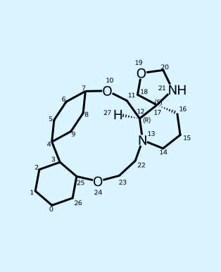 C1CCC2C3CCC(CC3)OC[C@@H]3N(CCC[C@@]34COCN4)CCOC2C1